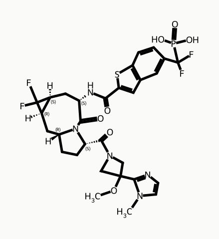 COC1(c2nccn2C)CN(C(=O)[C@@H]2CC[C@@H]3C[C@@H]4[C@H](C[C@H](NC(=O)c5cc6cc(C(F)(F)P(=O)(O)O)ccc6s5)C(=O)N32)C4(F)F)C1